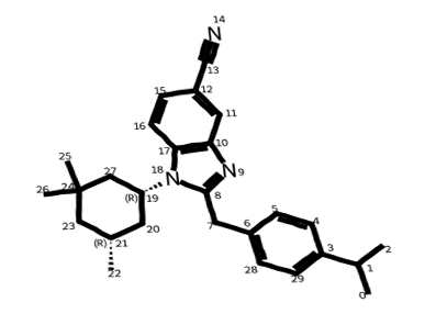 CC(C)c1ccc(Cc2nc3cc(C#N)ccc3n2[C@@H]2C[C@H](C)CC(C)(C)C2)cc1